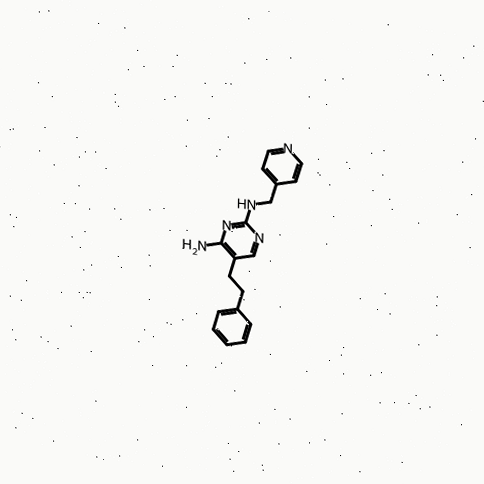 Nc1nc(NCc2ccncc2)ncc1CCc1ccccc1